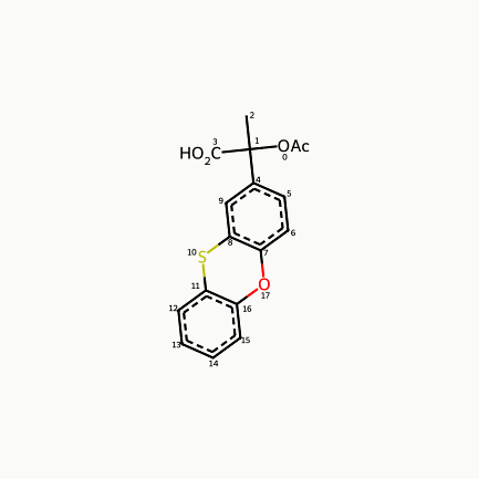 CC(=O)OC(C)(C(=O)O)c1ccc2c(c1)Sc1ccccc1O2